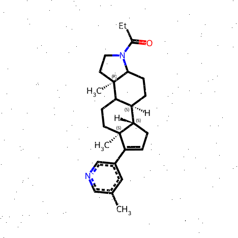 CCC(=O)N1CC[C@]2(C)C3CC[C@]4(C)C(c5cncc(C)c5)=CC[C@H]4[C@@H]3CCC12